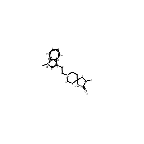 CN1CC2(CCN(CCc3cn(C)c4ccccc34)CC2)OC1=O